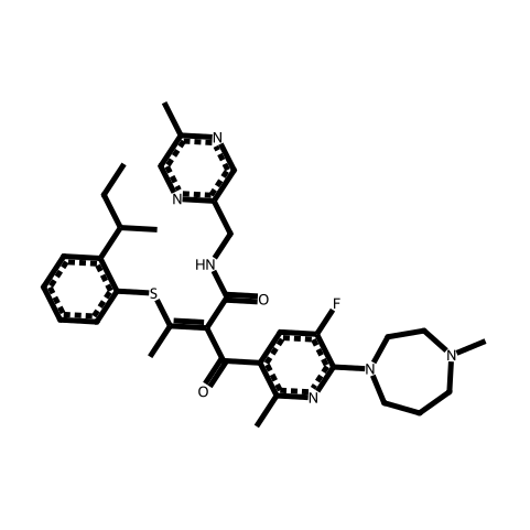 CCC(C)c1ccccc1S/C(C)=C(\C(=O)NCc1cnc(C)cn1)C(=O)c1cc(F)c(N2CCCN(C)CC2)nc1C